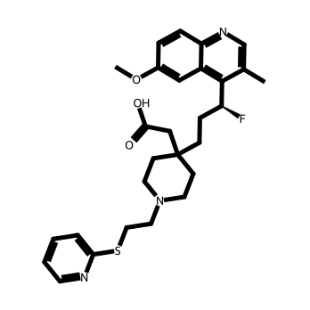 COc1ccc2ncc(C)c([C@@H](F)CCC3(CC(=O)O)CCN(CCSc4ccccn4)CC3)c2c1